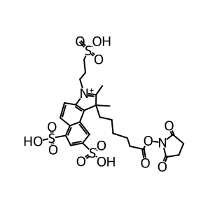 CC1=[N+](CCCS(=O)(=O)O)c2ccc3c(S(=O)(=O)O)cc(S(=O)(=O)O)cc3c2C1(C)CCCCCC(=O)ON1C(=O)CCC1=O